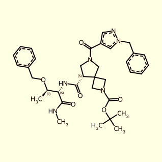 CNC(=O)[C@@H](NC(=O)[C@@H]1CN(C(=O)c2cnn(Cc3ccccc3)c2)CC12CN(C(=O)OC(C)(C)C)C2)[C@@H](C)OCc1ccccc1